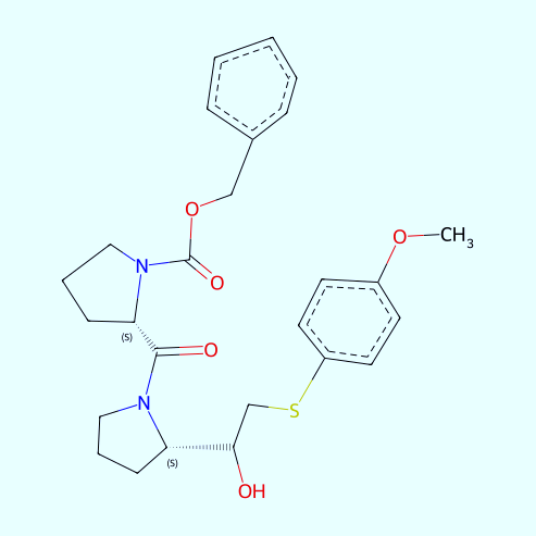 COc1ccc(SCC(O)[C@@H]2CCCN2C(=O)[C@@H]2CCCN2C(=O)OCc2ccccc2)cc1